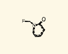 O=c1ccccn1CF